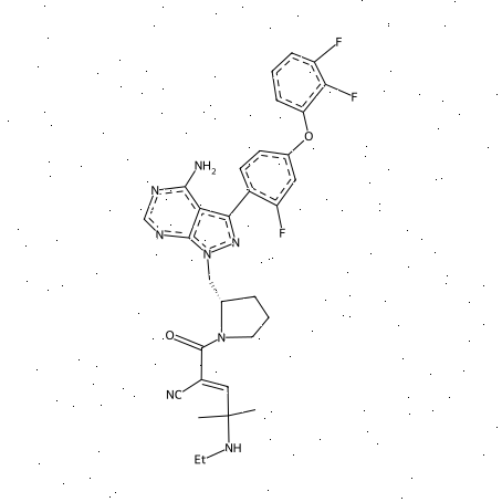 CCNC(C)(C)C=C(C#N)C(=O)N1CCC[C@H]1Cn1nc(-c2ccc(Oc3cccc(F)c3F)cc2F)c2c(N)ncnc21